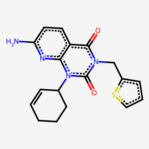 Nc1ccc2c(=O)n(Cc3cccs3)c(=O)n(C3C=CCCC3)c2n1